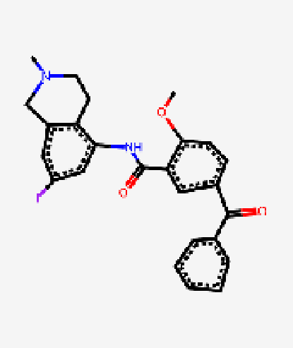 COc1ccc(C(=O)c2ccccc2)cc1C(=O)Nc1cc(I)cc2c1CCN(C)C2